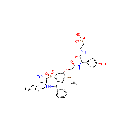 CCCCC1(CC)NC(c2ccccc2)c2cc(SC)c(OCC(=O)N[C@@H](C(=O)NCCS(=O)(=O)O)c3ccc(O)cc3)cc2S(=O)(=O)C1N